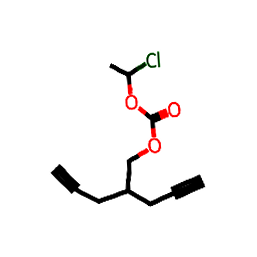 C#CCC(CC#C)COC(=O)OC(C)Cl